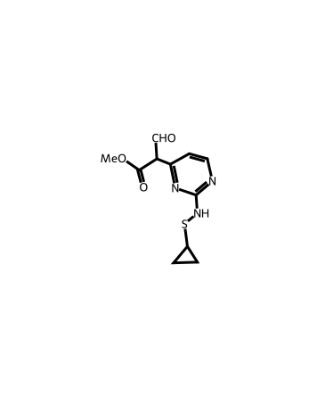 COC(=O)C(C=O)c1ccnc(NSC2CC2)n1